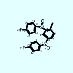 Cc1ccc([S+]([O-])c2ccc(F)cc2)cc1[S+]([O-])c1ccc(F)cc1